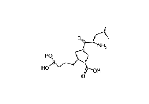 CC(C)CC(N)C(=O)N1C[C@H](CCCB(O)O)[C@H](C(=O)O)C1